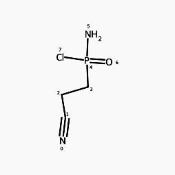 N#CCCP(N)(=O)Cl